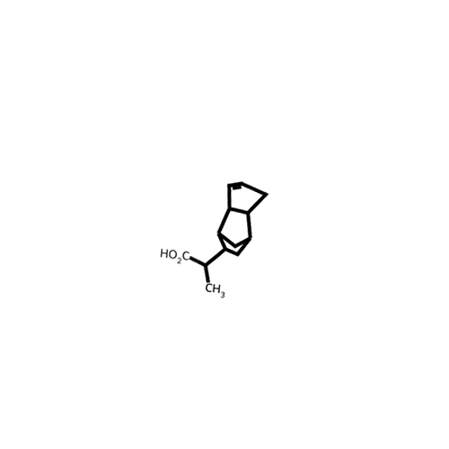 CC(C(=O)O)C1CC2CC1C1C=CCC21